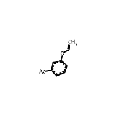 C=COc1cccc(C(C)=O)c1